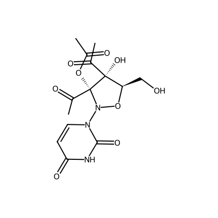 CC(=O)O[C@@]1(C(C)=O)N(n2ccc(=O)[nH]c2=O)O[C@H](CO)[C@]1(O)C(C)=O